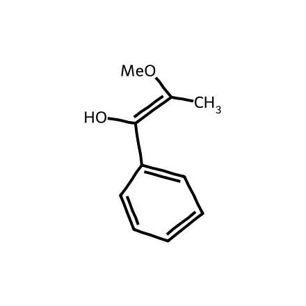 COC(C)=C(O)c1ccccc1